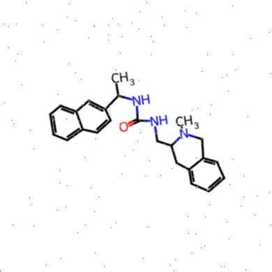 CC(NC(=O)NCC1Cc2ccccc2CN1C)c1ccc2ccccc2c1